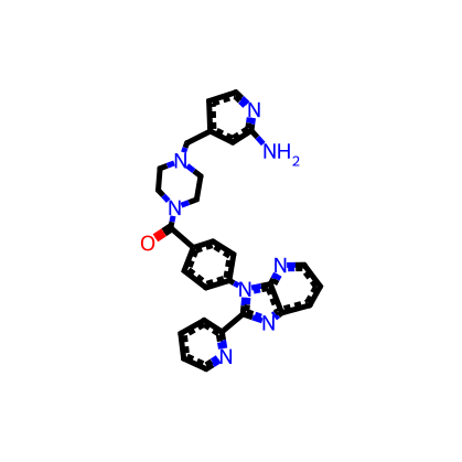 Nc1cc(CN2CCN(C(=O)c3ccc(-n4c(-c5ccccn5)nc5cccnc54)cc3)CC2)ccn1